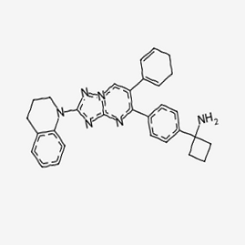 NC1(c2ccc(-c3nc4nc(N5CCCc6ccccc65)nn4cc3C3=CCCC=C3)cc2)CCC1